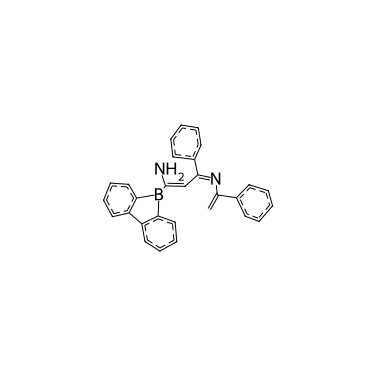 C=C(/N=C(\C=C(/N)B1c2ccccc2-c2ccccc21)c1ccccc1)c1ccccc1